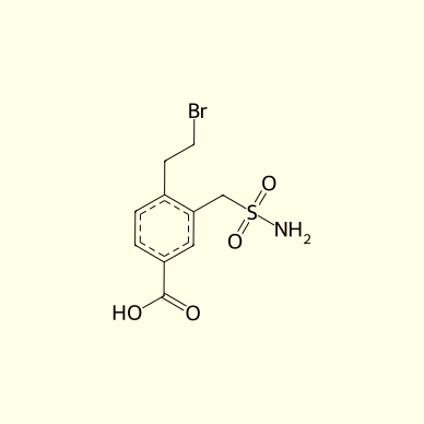 NS(=O)(=O)Cc1cc(C(=O)O)ccc1CCBr